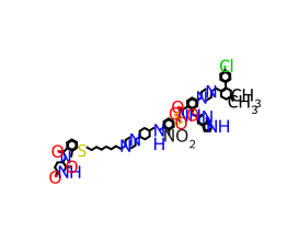 CC1(C)CCC(CN2CCN(c3ccc(C(=O)NS(=O)(=O)c4ccc(NCC5CCC(N6CCN(CCCCCCCCSc7cccc8c7CN(C7CCC(=O)NC7=O)C8=O)CC6)CC5)c([N+](=O)[O-])c4)c(Oc4cnc5[nH]ccc5c4)c3)CC2)=C(c2ccc(Cl)cc2)C1